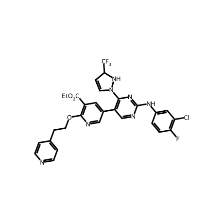 CCOC(=O)c1cc(-c2cnc(Nc3ccc(F)c(Cl)c3)nc2N2C=CC(C(F)(F)F)N2)cnc1OCCc1ccncc1